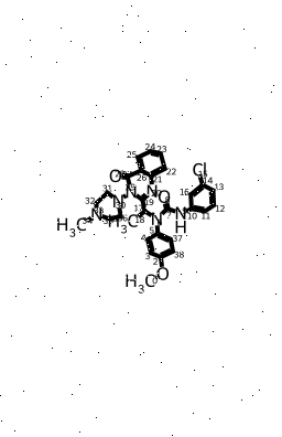 COc1ccc(N(C(=O)Nc2cccc(Cl)c2)C(C)c2nc3ccccc3c(=O)n2N2CCN(C)CC2)cc1